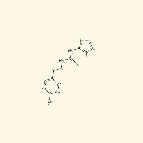 Oc1ccc(CCNC(=S)Nc2nccs2)cc1